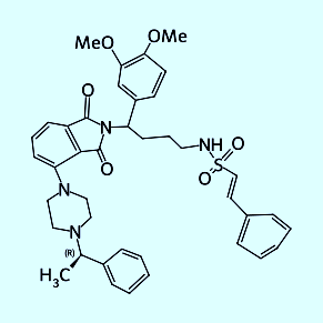 COc1ccc(C(CCCNS(=O)(=O)C=Cc2ccccc2)N2C(=O)c3cccc(N4CCN([C@H](C)c5ccccc5)CC4)c3C2=O)cc1OC